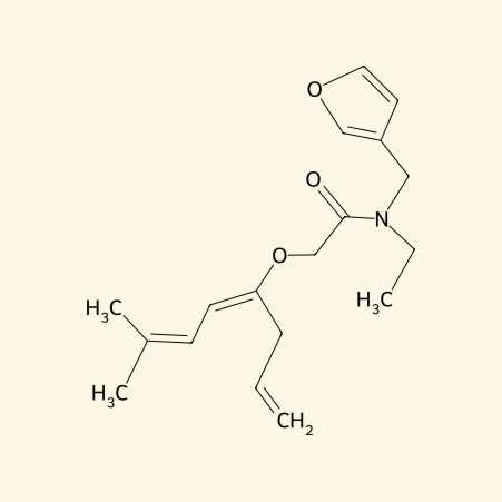 C=CC/C(=C\C=C(C)C)OCC(=O)N(CC)Cc1ccoc1